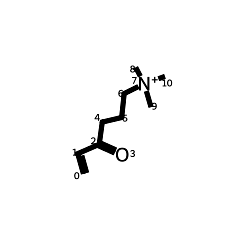 C=CC(=O)CCC[N+](C)(C)C